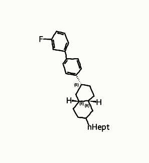 CCCCCCCC1CC[C@@H]2C[C@H](c3ccc(-c4cccc(F)c4)cc3)CC[C@@H]2C1